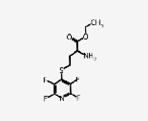 CCOC(=O)C(N)CCSc1c(F)c(F)nc(F)c1F